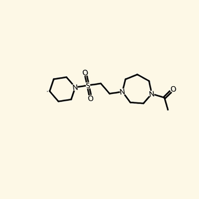 CC(=O)N1CCCN(CCS(=O)(=O)N2CC[CH]CC2)CC1